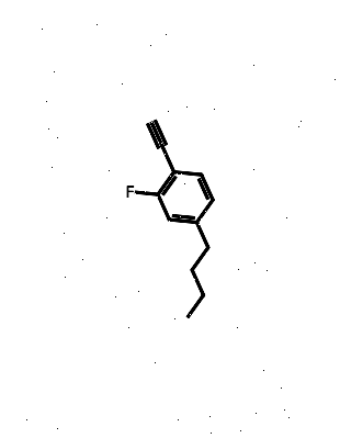 C#Cc1ccc(CCCC)cc1F